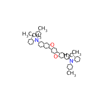 Cc1ccc(N(c2ccc3cc4c(cc3c2)oc2cc3c(cc24)oc2cc4cc(N(c5ccc(C)cc5)c5ccccc5C(C)C)ccc4cc23)c2ccccc2C(C)C)cc1